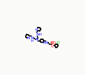 O=C(CCNCc1ccc(CN(CCNCc2ccccn2)CCNCc2ccccn2)cc1)Oc1cccc(Cl)c1O